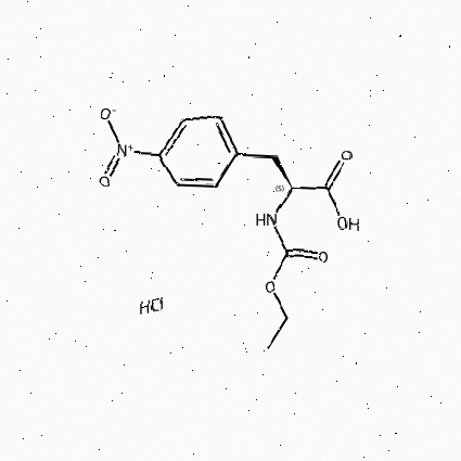 CCOC(=O)N[C@@H](Cc1ccc([N+](=O)[O-])cc1)C(=O)O.Cl